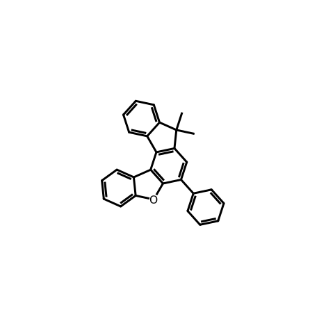 CC1(C)c2ccccc2-c2c1cc(-c1ccccc1)c1oc3ccccc3c21